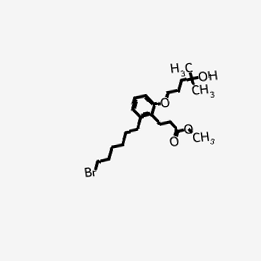 COC(=O)CCc1c(CCCCCCBr)cccc1OCCCC(C)(C)O